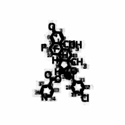 C[C@]12C=CC(=O)C=C1[C@@H](F)C[C@H]1[C@@H]3C[C@H]4CN(c5ccc(Cl)cc5)O[C@@]4(C(=O)COC(=O)c4ccncc4)[C@@]3(C)C[C@H](O)[C@@]12F